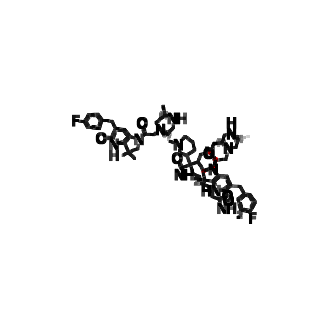 C[C@@H]1CN(CC(=O)N2CC(C)(C)c3[nH]c(=O)c(Cc4ccc(F)cc4)cc32)[C@@H](CN2CCCC(C(CCCCCC(N)=O)(C(N)=O)C3CCCN(C[C@H]4CN[C@H](C)CN4CC(=O)N4CC(C)(C)c5[nH]c(=O)c(Cc6ccc(F)cc6)cc54)C3)C2)CN1